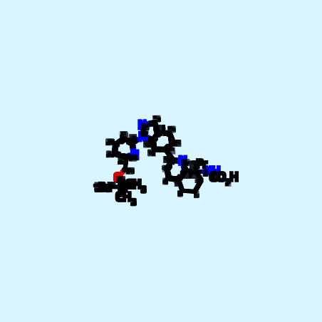 CCCC1(NC(=O)O)CCCc2ccc(-c3ccc4cnn(-c5cccc(CO[Si](C)(C)C(C)(C)C)n5)c4c3)nc21